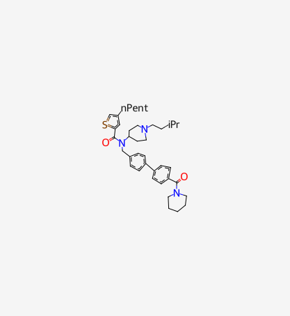 CCCCCc1csc(C(=O)N(Cc2ccc(-c3ccc(C(=O)N4CCCCC4)cc3)cc2)C2CCN(CCC(C)C)CC2)c1